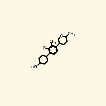 CCCC1CCC(c2ccc(C3CCC(C)OC3)c(C(F)(F)F)c2F)CC1